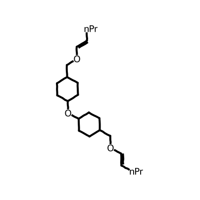 CCCC=COCC1CCC(OC2CCC(COC=CCCC)CC2)CC1